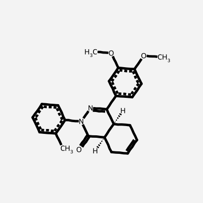 COc1ccc(C2=NN(c3ccccc3C)C(=O)[C@@H]3CC=CC[C@H]23)cc1OC